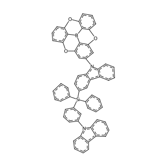 c1ccc([Si](c2ccccc2)(c2cccc(-n3c4ccccc4c4ccccc43)c2)c2ccc3c(c2)c2ccccc2n3-c2cc3c4c(c2)Oc2cccc5c2B4c2c(cccc2O3)O5)cc1